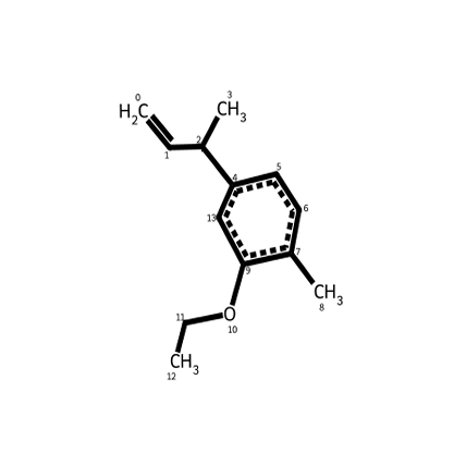 C=C[C](C)c1ccc(C)c(OCC)c1